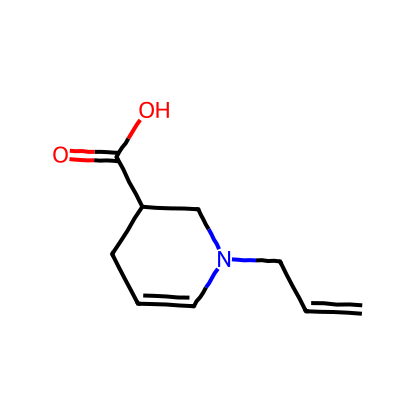 C=CCN1C=CCC(C(=O)O)C1